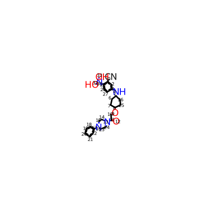 N#Cc1cc(NC2CCC(OCC(=O)N3CCN(c4ccccc4)CC3)CC2)ccc1N(O)O